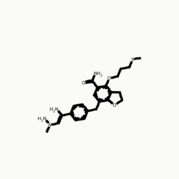 CSCCCOc1c(C(N)=O)cc(Cc2ccc(/C(N)=C/N(C)N)cc2)c2c1CCO2